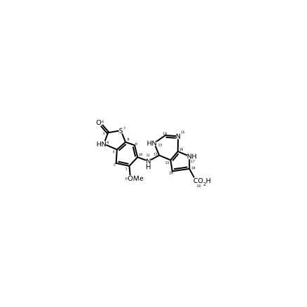 COc1cc2[nH]c(=O)sc2cc1NC1NC=Nc2[nH]c(C(=O)O)cc21